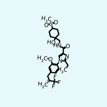 CCc1nc(C(=O)NCC2(O)CCC(S(C)(=O)=O)CC2)cn1-c1ccc(C[C@@H](C)C(F)(F)F)cc1OC